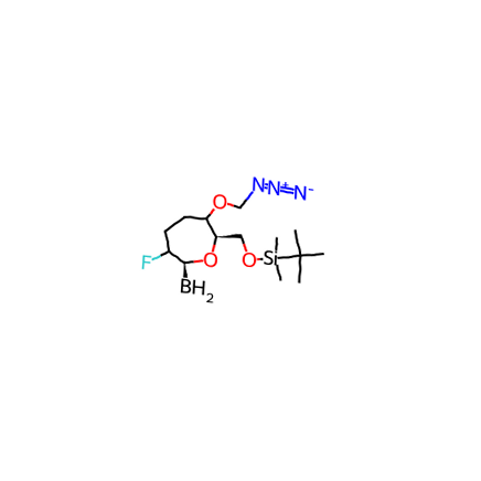 B[C@@H]1O[C@H](CO[Si](C)(C)C(C)(C)C)C(OCN=[N+]=[N-])CCC1F